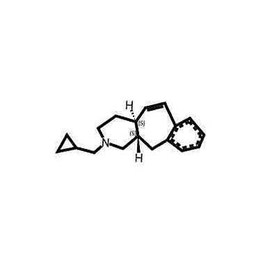 C1=C[C@@H]2CCN(CC3CC3)C[C@H]2Cc2ccccc21